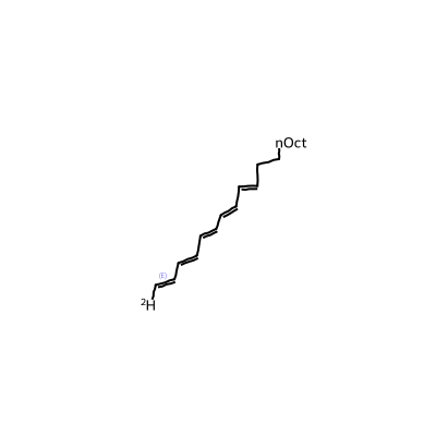 [2H]/C=C/C=CC=CC=CC=CCCCCCCCCCC